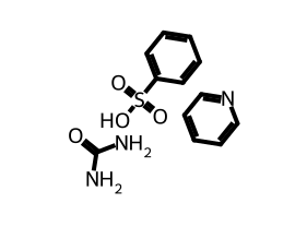 NC(N)=O.O=S(=O)(O)c1ccccc1.c1ccncc1